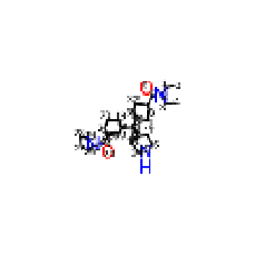 CCN(CC)C(=O)c1ccc(C(=C2CCNCC2)c2cccc(C(=O)N3CCCC3)c2)cc1